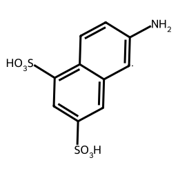 Nc1[c]c2cc(S(=O)(=O)O)cc(S(=O)(=O)O)c2cc1